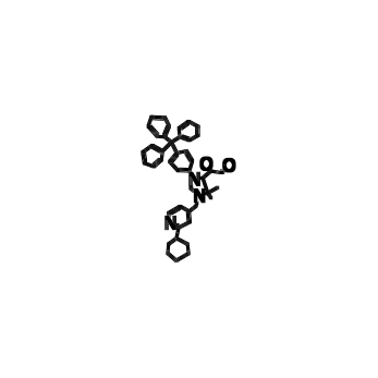 CC1(C)C(C(=O)C=O)N(c2ccc(C(c3ccccc3)(c3ccccc3)c3ccccc3)cc2)CN1Cc1ccnc(C2CCCCC2)c1